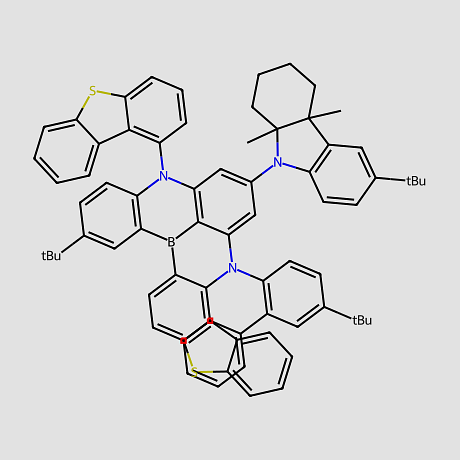 CC(C)(C)c1ccc2c(c1)B1c3ccc4sc5ccccc5c4c3N(c3ccc(C(C)(C)C)cc3-c3ccccc3)c3cc(N4c5ccc(C(C)(C)C)cc5C5(C)CCCCC45C)cc(c31)N2c1cccc2sc3ccccc3c12